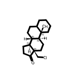 C[C@]12CCCCC1CC[C@H]1[C@@H]3CCC(=O)[C@@]3(CCl)CC[C@@H]12